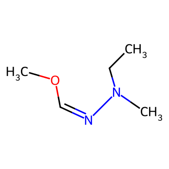 CCN(C)/N=C\OC